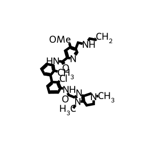 C=CCNCc1cnc(C(=O)Nc2cccc(-c3cccc(NC(=O)c4nc5c(n4C)CCN(C)C5)c3Cl)c2C)cc1OC